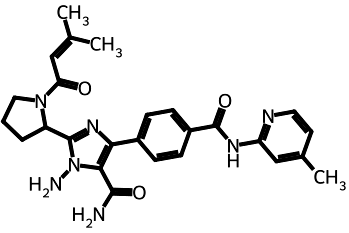 CC(C)=CC(=O)N1CCCC1c1nc(-c2ccc(C(=O)Nc3cc(C)ccn3)cc2)c(C(N)=O)n1N